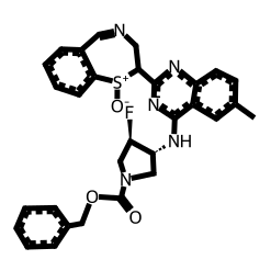 Cc1ccc2nc(C3CN=Cc4ccccc4[S+]3[O-])nc(N[C@@H]3CN(C(=O)OCc4ccccc4)C[C@H]3F)c2c1